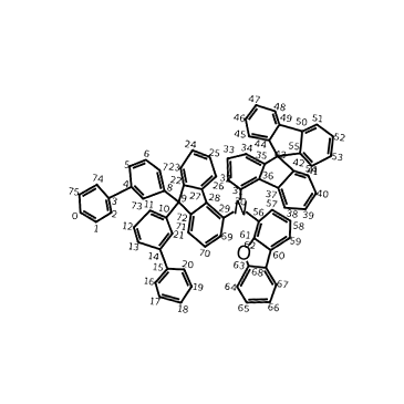 c1ccc(-c2cccc(C3(c4cccc(-c5ccccc5)c4)c4ccccc4-c4c(N(c5cccc6c5-c5ccccc5C65c6ccccc6-c6ccccc65)c5cccc6c5oc5ccccc56)cccc43)c2)cc1